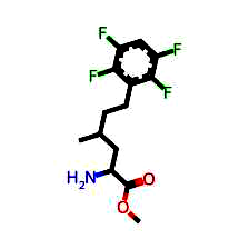 COC(=O)C(N)CC(C)CCc1c(F)c(F)cc(F)c1F